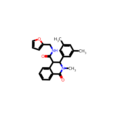 Cc1cc(C)cc(C2C(C(=O)NCc3ccco3)c3ccccc3C(=O)N2C)c1